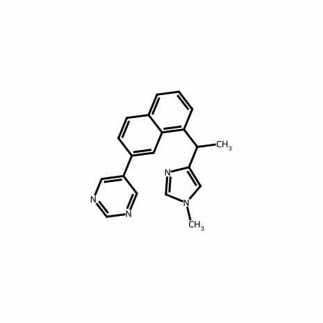 CC(c1cn(C)cn1)c1cccc2ccc(-c3cncnc3)cc12